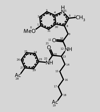 COc1ccc2[nH]c(C)c(CC(=O)NC(CCCCCC(C)=O)C(=O)Nc3cccc(C(C)=O)c3)c2c1